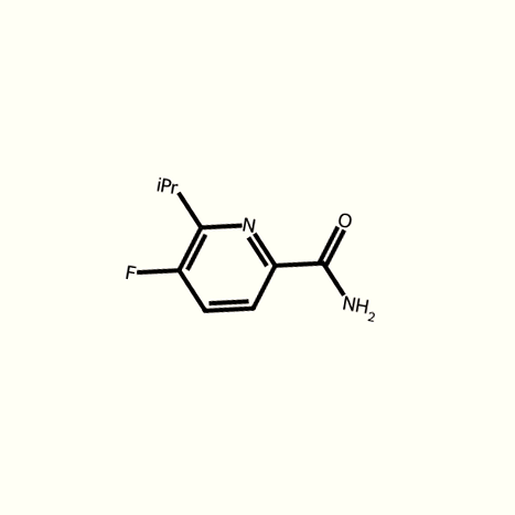 CC(C)c1nc(C(N)=O)ccc1F